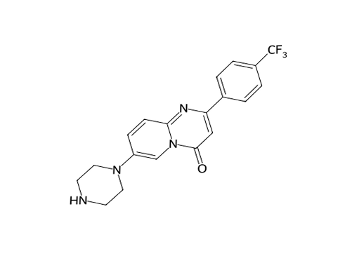 O=c1cc(-c2ccc(C(F)(F)F)cc2)nc2ccc(N3CCNCC3)cn12